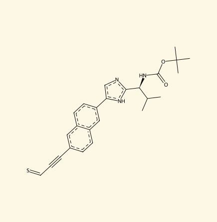 CC(C)[C@H](NC(=O)OC(C)(C)C)c1ncc(-c2ccc3cc(C#CC=S)ccc3c2)[nH]1